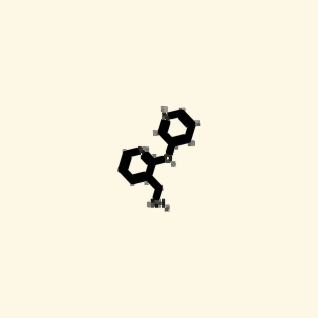 NCc1cccnc1Oc1cccnc1